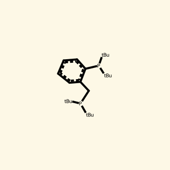 CC(C)(C)P(Cc1ccccc1P(C(C)(C)C)C(C)(C)C)C(C)(C)C